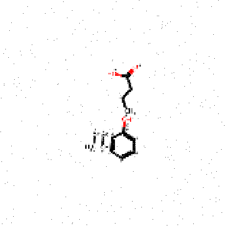 CC(C)=O.CC(C)=O.CCCC(=O)O.Oc1ccccc1